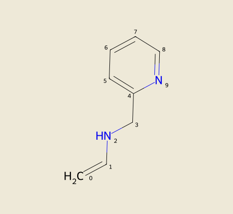 C=CNCc1ccccn1